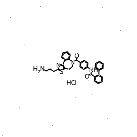 Cl.NCCCc1nc2c(s1)CCN(C(=O)c1ccc(NC(=O)c3ccccc3-c3ccccc3)cc1)c1ccccc1-2